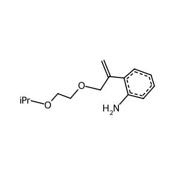 C=C(COCCOC(C)C)c1ccccc1N